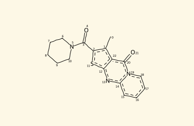 Cc1c(C(=O)N2CCCCC2)sc2nc3ccccn3c(=O)c12